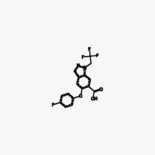 O=C(O)c1cc2c(cnn2CC(F)(F)F)cc1Oc1ccc(F)cc1